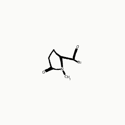 CCC(C)C(=O)C1CCC(=O)N1C